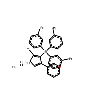 CC(C)c1cccc([Si](C2=[C]([Ti])CC=C2c2ccccc2)(c2cccc(C(C)C)c2)c2cccc(C(C)C)c2)c1.Cl.Cl.Cl